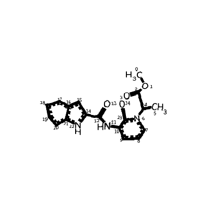 COC(=O)C(C)n1cccc(NC(=O)c2cc3ccccc3[nH]2)c1=O